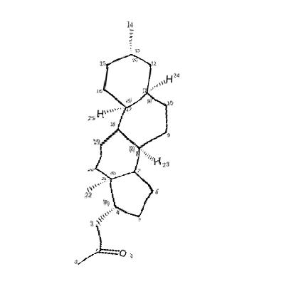 CC(=O)C[C@H]1CCC2[C@@H]3CC[C@@H]4C[C@@H](C)CC[C@@H]4C3CC[C@@]21C